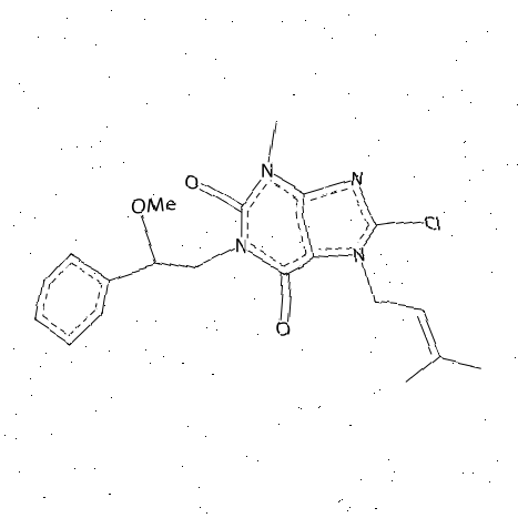 COC(Cn1c(=O)c2c(nc(Cl)n2CC=C(C)C)n(C)c1=O)c1ccccc1